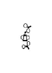 CC(=O)OC[C@@H]1OCC(OC(C)=O)O1